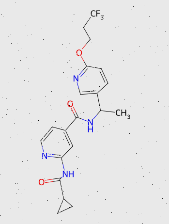 CC(NC(=O)c1ccnc(NC(=O)C2CC2)c1)c1ccc(OCCC(F)(F)F)nc1